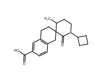 CC1CCN(C2CCC2)C(=O)C12CCc1cc(C(=O)O)ccc1C2